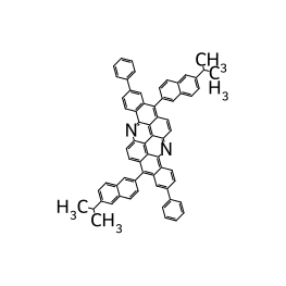 CC(C)c1ccc2cc(-c3c4cc(-c5ccccc5)ccc4c4nc5ccc6c(-c7ccc8cc(C(C)C)ccc8c7)c7cc(-c8ccccc8)ccc7c7nc8ccc3c4c8c5c67)ccc2c1